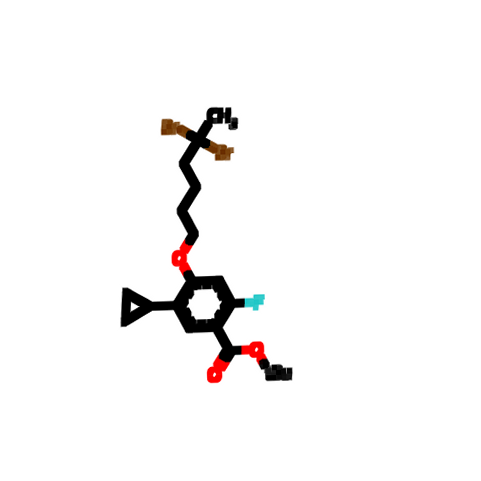 CC(Br)(Br)CCCCOc1cc(F)c(C(=O)OC(C)(C)C)cc1C1CC1